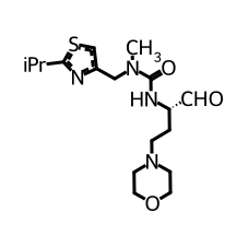 CC(C)c1nc(CN(C)C(=O)N[C@H](C=O)CCN2CCOCC2)cs1